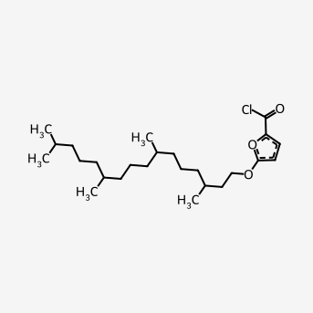 CC(C)CCCC(C)CCCC(C)CCCC(C)CCOc1ccc(C(=O)Cl)o1